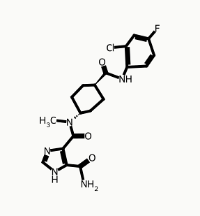 CN(C(=O)c1nc[nH]c1C(N)=O)[C@H]1CC[C@H](C(=O)Nc2ccc(F)cc2Cl)CC1